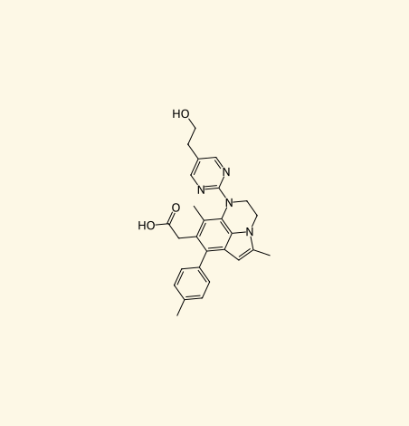 Cc1ccc(-c2c(CC(=O)O)c(C)c3c4c2cc(C)n4CCN3c2ncc(CCO)cn2)cc1